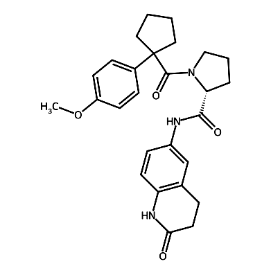 COc1ccc(C2(C(=O)N3CCC[C@@H]3C(=O)Nc3ccc4c(c3)CCC(=O)N4)CCCC2)cc1